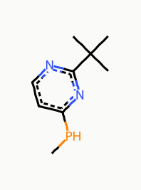 CPc1ccnc(C(C)(C)C)n1